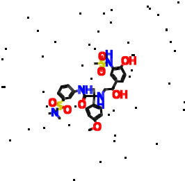 COc1ccc(C(C)(NCC(O)c2ccc(O)c(NS(C)(=O)=O)c2)C(=O)Nc2cccc(S(=O)(=O)N(C)C)c2)cc1